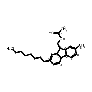 CCCCCCCCC1=CC2C(C=C1)C1C=CC(C)=CC1C2COC(C)=O